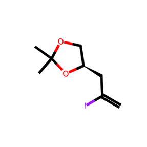 C=C(I)C[C@@H]1COC(C)(C)O1